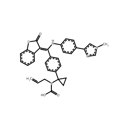 C=CCN(C(=O)O)C1(c2ccc(/C(Nc3ccc(-c4cn(C)cn4)cc3)=C3/C(=O)Oc4ccccc43)cc2)CC1